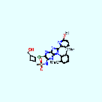 CCOc1cccc(-c2nc3nc(Cl)c(NS(=O)(=O)C[C@H]4C[C@H](CO)C4)nc3n2-c2c(OC)cccc2OC)n1